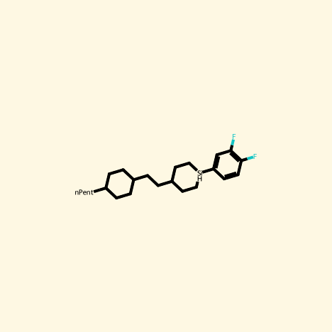 CCCCCC1CCC(CCC2CC[SiH](c3ccc(F)c(F)c3)CC2)CC1